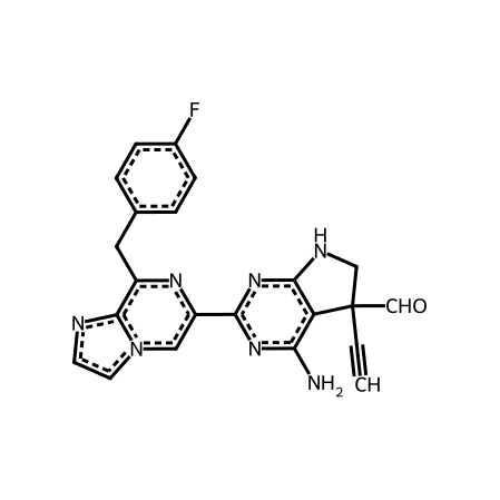 C#CC1(C=O)CNc2nc(-c3cn4ccnc4c(Cc4ccc(F)cc4)n3)nc(N)c21